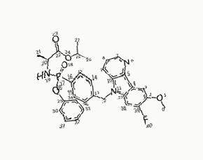 COc1cc2c3ncccc3n(Cc3ccc(P(=O)(N[C@@H](C)C(=O)OC(C)C)Oc4ccccc4)cc3)c2cc1F